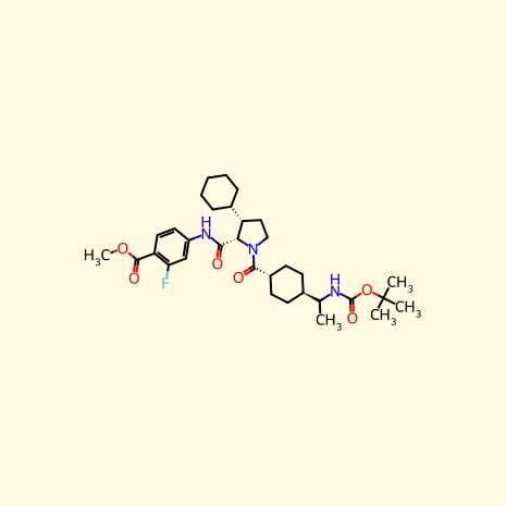 COC(=O)c1ccc(NC(=O)[C@@H]2[C@H](C3CCCCC3)CCN2C(=O)[C@H]2CC[C@H](C(C)NC(=O)OC(C)(C)C)CC2)cc1F